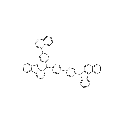 c1ccc2c(-c3ccc(N(c4ccc(-c5ccc(-n6c7ccccc7c7c8ccccc8ccc76)cc5)cc4)c4cccc5c4oc4ccccc45)cc3)cccc2c1